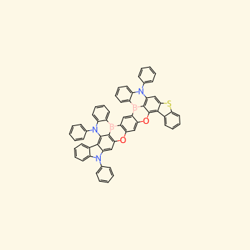 c1ccc(N2c3ccccc3B3c4cc5c(cc4Oc4c3c2cc2sc3ccccc3c42)Oc2cc3c(c4c2B5c2ccccc2N4c2ccccc2)c2ccccc2n3-c2ccccc2)cc1